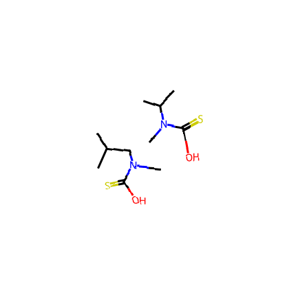 CC(C)CN(C)C(O)=S.CC(C)N(C)C(O)=S